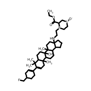 CCOC(=O)C1C[S+]([O-])CCN1CCNC12CCCC1C1CCC3C4(C)CC=C(C5=CCC(CF)CC5)C(C)(C)C4CCC3(C)C1(C)CC2